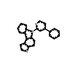 c1ccc(-c2ccnc(-n3c4ccccc4c4c5ccsc5ccc43)c2)cc1